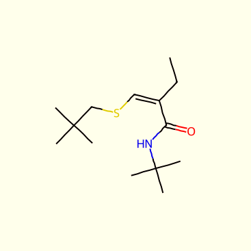 CCC(=CSCC(C)(C)C)C(=O)NC(C)(C)C